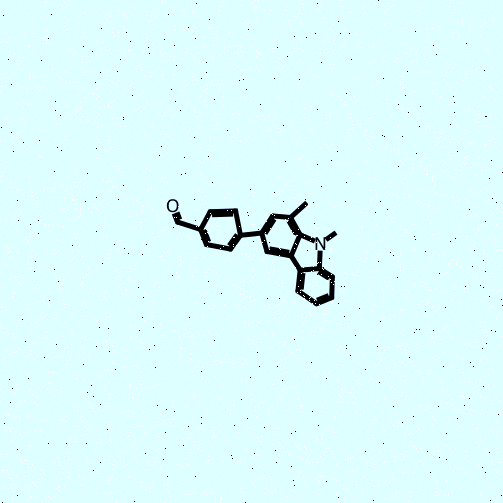 Cc1cc(-c2ccc(C=O)cc2)cc2c3ccccc3n(C)c12